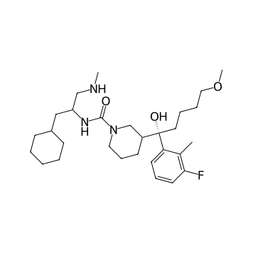 CNCC(CC1CCCCC1)NC(=O)N1CCCC([C@@](O)(CCCCOC)c2cccc(F)c2C)C1